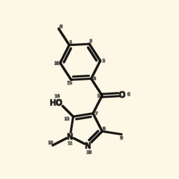 Cc1ccc(C(=O)c2c(C)nn(C)c2O)cc1